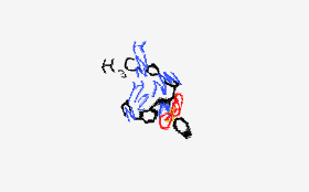 Cc1nc2cc(-n3ncc(C(=O)c4cc5cc(CN6CCCC6)ccc5n4S(=O)(=O)c4ccccc4)c3N)ccc2[nH]1